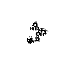 CC1CN(C2=C(C(=O)NSC3C=CC=CC3O)CCC(n3ccc(OCCC4(C(C)(F)F)CC4)n3)N2)C(C)(C)C[C@@H]1C